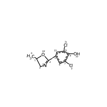 CC1CN=C(c2cc(Cl)c(O)c(Cl)c2)O1